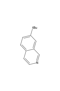 CC(C)(C)c1ccc2ccncc2c1